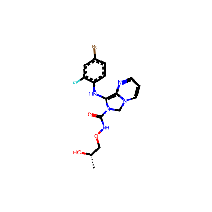 C[C@H](O)CONC(=O)N1CN2C=CC=NC2=C1Nc1ccc(Br)cc1F